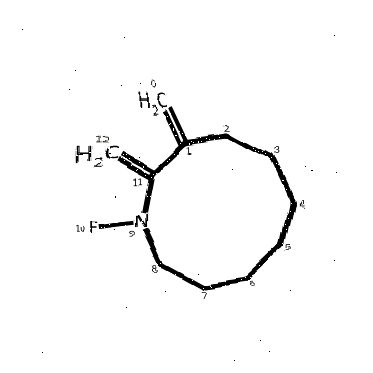 C=C1CCCCCCCN(F)C1=C